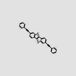 C(#Cc1ccc2c(c1)sc1c3ccc(C#Cc4ccccc4)cc3sc21)c1ccccc1